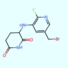 O=C1CCC(Nc2cc(CBr)cnc2F)C(=O)N1